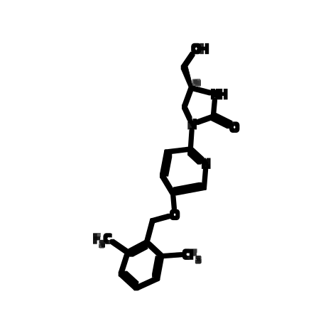 O=C1N[C@H](CO)CN1c1ccc(OCc2c(C(F)(F)F)cccc2C(F)(F)F)cn1